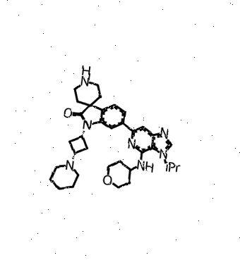 CC(C)n1cnc2cc(-c3ccc4c(c3)N([C@H]3C[C@@H](N5CCCCC5)C3)C(=O)C43CCNCC3)nc(NC3CCOCC3)c21